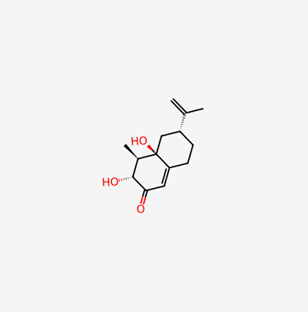 C=C(C)[C@@H]1CCC2=CC(=O)[C@H](O)[C@@H](C)[C@]2(O)C1